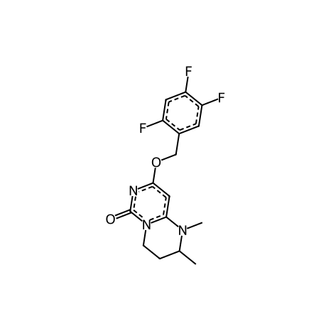 CC1CCn2c(cc(OCc3cc(F)c(F)cc3F)nc2=O)N1C